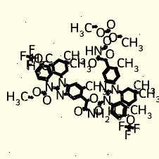 CCOC(=O)N(c1ccc(OC(F)(F)F)cc1)c1nc2cc(C(OC(=O)N(c3ccc(OC(F)(F)F)cc3)c3nc4cc(C5OC(=O)NC5=O)c(C)cc4n3C3CC(C)(C)CC(C)(C)C3)C(N)=O)c(C)cc2n1C1CC(C)(C)CC(C)(C)C1.CCOC(=O)OCC